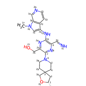 C[C@H]1CC2(CCN(c3nc(C=N)c(Nc4cn(C)c5cnccc45)nc3CO)CC2)CO1